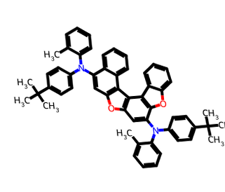 Cc1ccccc1N(c1ccc(C(C)(C)C)cc1)c1cc2oc3cc(N(c4ccc(C(C)(C)C)cc4)c4ccccc4C)c4oc5ccccc5c4c3c2c2ccccc12